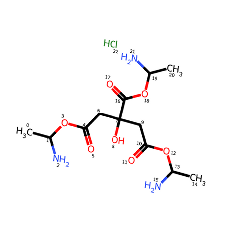 CC(N)OC(=O)CC(O)(CC(=O)OC(C)N)C(=O)OC(C)N.Cl